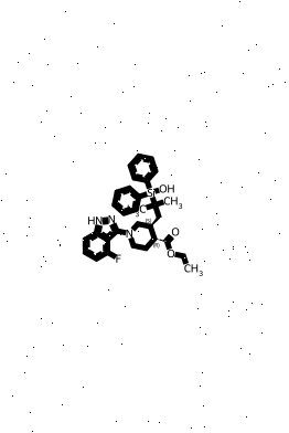 CCOC(=O)[C@@H]1CCN(c2n[nH]c3cccc(F)c23)C[C@H]1CC(C)(C)[Si](O)(c1ccccc1)c1ccccc1